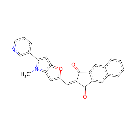 Cn1c(-c2cccnc2)cc2oc(C=C3C(=O)c4cc5ccccc5cc4C3=O)cc21